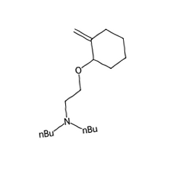 C=C1CCCCC1OCCN(CCCC)CCCC